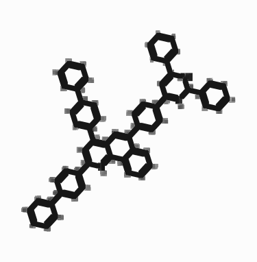 C1=C(c2ccccc2)NC(c2ccccc2)N=C1c1ccc(-c2cc3c(-c4ccc(-c5ccccc5)cc4)cc(-c4ccc(-c5ccccc5)cc4)nc3c3ccccc23)cc1